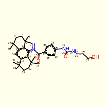 CC1(C)CCC(C)(C)c2c1cc1c(c2NC(=O)c2ccc(NC(=O)NCCCO)cc2)C(C)(C)CCC1(C)C